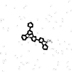 Cn1c2ccccc2c2cc(-c3ccc4c(c3)c3cc(-c5ccccc5)cc5c6ccccc6n4c53)ccc21